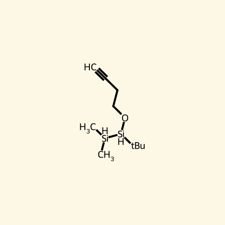 C#CCCO[SiH]([SiH](C)C)C(C)(C)C